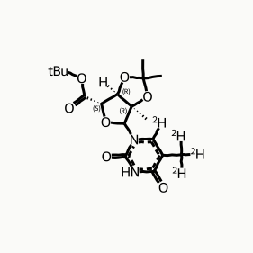 [2H]c1c(C([2H])([2H])[2H])c(=O)[nH]c(=O)n1C1O[C@H](C(=O)OC(C)(C)C)[C@H]2OC(C)(C)O[C@@]12C